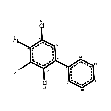 Fc1c(Cl)c(Cl)cc(-c2ccccc2)c1Cl